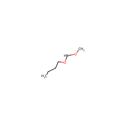 CCCCOBOC